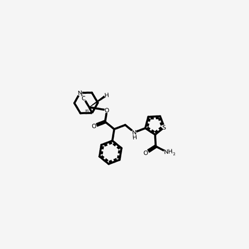 NC(=O)c1sccc1NCC(C(=O)O[C@H]1CN2CCC1CC2)c1ccccc1